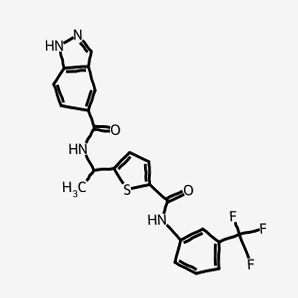 CC(NC(=O)c1ccc2[nH]ncc2c1)c1ccc(C(=O)Nc2cccc(C(F)(F)F)c2)s1